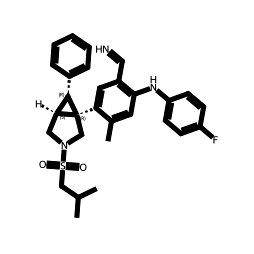 Cc1cc(Nc2ccc(F)cc2)c(C=N)cc1[C@]12CN(S(=O)(=O)CC(C)C)C[C@H]1[C@@H]2c1ccccc1